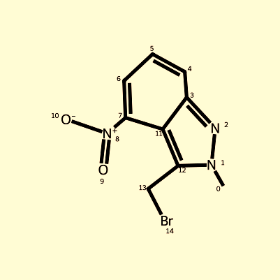 Cn1nc2cccc([N+](=O)[O-])c2c1CBr